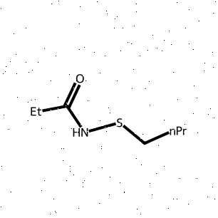 CCCCSNC(=O)CC